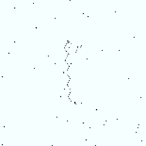 CCSCCPCCP(CC)CC